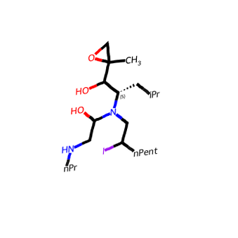 CCCCCC(I)CN(C(O)CNCCC)[C@@H](CC(C)C)C(O)C1(C)CO1